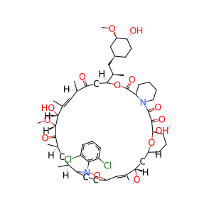 CO[C@H]1C[C@@H]2CC[C@@H](C)[C@@](O)(O2)C(=O)C(=O)N2CCCCC2C(=O)O[C@H]([C@H](C)C[C@@H]2CC[C@@H](O)[C@H](OC)C2)CC(=O)[C@H](C)/C=C(\C)[C@@H](O)[C@@H](OC)C(=O)[C@H](C)C[C@H](C)C2CCC(/C=C/1C)ON2c1c(Cl)cccc1Cl